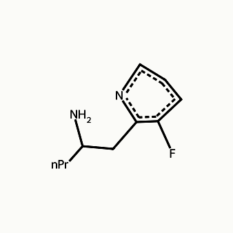 CCCC(N)Cc1ncccc1F